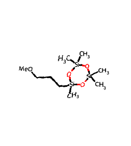 COCCC[Si]1(C)O[Si](C)(C)O[Si](C)(C)O1